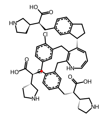 O=C(O)[C@@H](Cc1ccc(Cl)c(CC2=C(Cc3cc(C[C@H](C(=O)O)[C@H]4CCNC4)ccc3Cl)C([C@H]3CCc4ccc(C[C@H](C(=O)O)[C@H]5CCNC5)cc43)=CC=CN2)c1)[C@H]1CCNC1